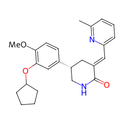 COc1ccc([C@H]2CNC(=O)C(=Cc3cccc(C)n3)C2)cc1OC1CCCC1